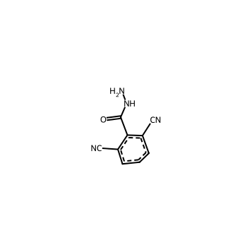 N#Cc1cccc(C#N)c1C(=O)NN